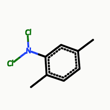 Cc1ccc(C)c(N(Cl)Cl)c1